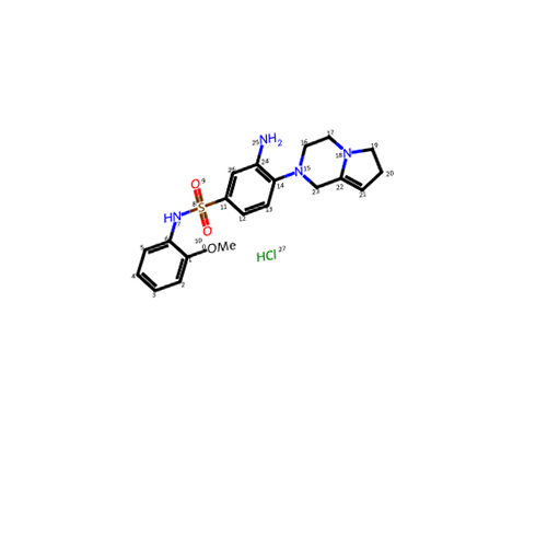 COc1ccccc1NS(=O)(=O)c1ccc(N2CCN3CCC=C3C2)c(N)c1.Cl